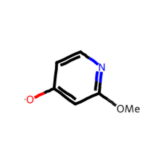 COc1cc([O])ccn1